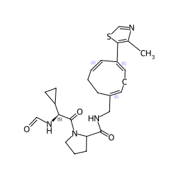 Cc1ncsc1C1=C/C/C=C(/CNC(=O)C2CCCN2C(=O)[C@@H](NC=O)C2CC2)CC/C=C\1